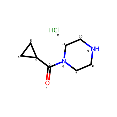 Cl.O=C(C1CC1)N1CCNCC1